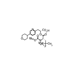 CN(C(=O)OC(C)(C)C)[C@@H](CC(C)(C)F)C(=O)O[C@H](Cc1ccc(C2CCOCC2)cn1)C(=O)O